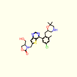 Cc1cc(Cl)cc(-c2ncnc3cc(CN4C(=O)OCC4CO)sc23)c1CC1CNCC(C)(C)O1